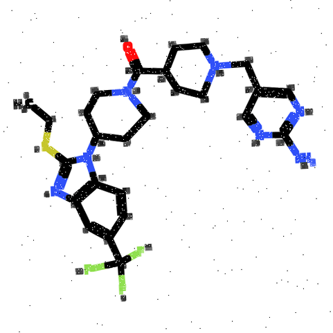 CCSc1nc2cc(C(F)(F)F)ccc2n1C1CCN(C(=O)C2CCN(Cc3cnc(N)nc3)CC2)CC1